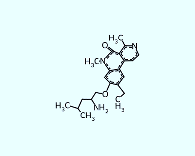 CCc1cc2c3ccnc(C)c3c(=O)n(C)c2cc1OCC(N)CC(C)C